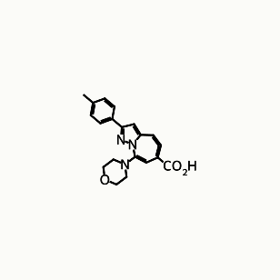 Cc1ccc(-c2cc3n(n2)C(N2CCOCC2)=CC(C(=O)O)=C=C3)cc1